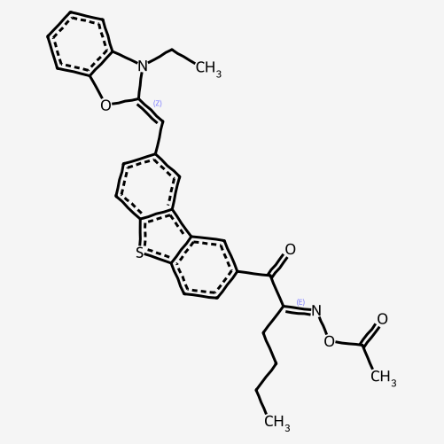 CCCC/C(=N\OC(C)=O)C(=O)c1ccc2sc3ccc(/C=C4\Oc5ccccc5N4CC)cc3c2c1